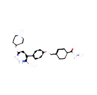 CCCCc1nnc(OC2CCN(C)CC2)cc1-c1ccc(OCC2CCC(C(=O)N(CC)CC)CC2)cc1